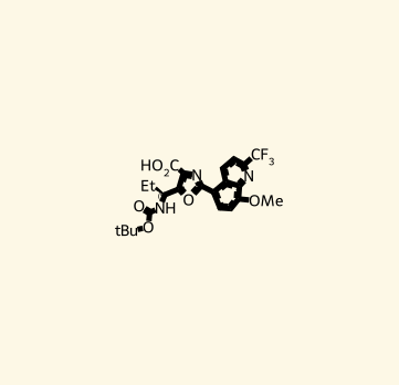 CC[C@H](NC(=O)OC(C)(C)C)c1oc(-c2ccc(OC)c3nc(C(F)(F)F)ccc23)nc1C(=O)O